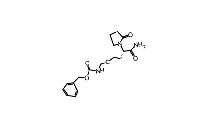 NC(=O)[C@H](CCCCNC(=O)OCc1ccccc1)N1CCCC1=O